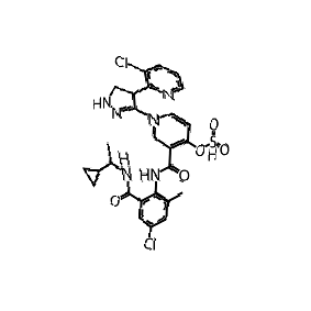 Cc1cc(Cl)cc(C(=O)NC(C)C2CC2)c1NC(=O)C1=C(O[SH](=O)=O)C=CN(C2=NNCC2c2ncccc2Cl)C1